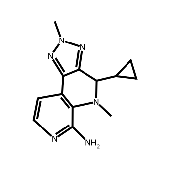 CN1c2c(ccnc2N)-c2nn(C)nc2C1C1CC1